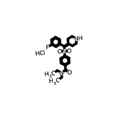 CCN(CC)C(=O)c1ccc(S(=O)(=O)C(=C2CCNCC2)c2cccc(F)c2)cc1.Cl